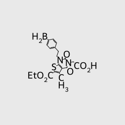 Bc1ccc(CCn2c(=O)n(CC(=O)O)c(=O)c3c(C)c(C(=O)OCC)sc32)cc1